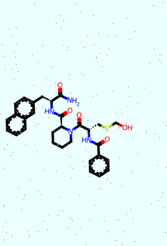 NC(=O)[C@H](Cc1ccc2ccccc2c1)NC(=O)[C@@H]1CCCCN1C(=O)[C@H](CSCO)NC(=O)c1ccccc1